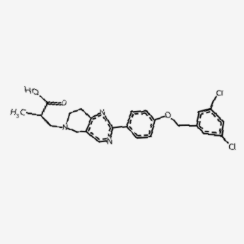 CC(CN1CCc2nc(-c3ccc(OCc4cc(Cl)cc(Cl)c4)cc3)ncc2C1)C(=O)O